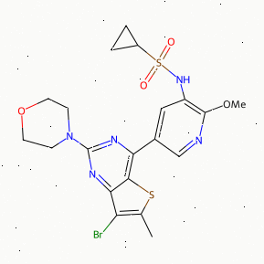 COc1ncc(-c2nc(N3CCOCC3)nc3c(Br)c(C)sc23)cc1NS(=O)(=O)C1CC1